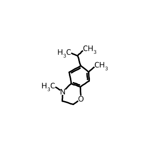 Cc1cc2c(cc1C(C)C)N(C)CCO2